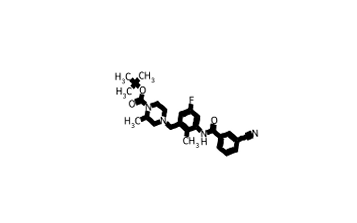 Cc1c(CN2CCN(C(=O)OC(C)(C)C)C(C)C2)cc(F)cc1NC(=O)c1cccc(C#N)c1